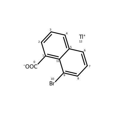 O=C([O-])c1cccc2cccc(Br)c12.[Tl+]